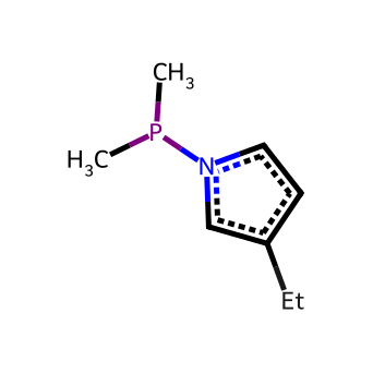 CCc1ccn(P(C)C)c1